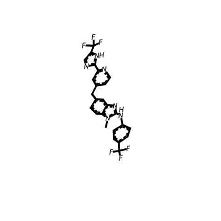 Cn1c(Nc2ccc(C(F)(F)F)cc2)nc2cc(Cc3ccnc(-c4ncc(C(F)(F)F)[nH]4)c3)ccc21